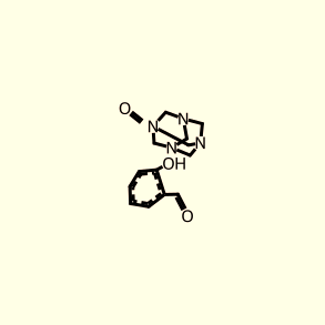 C1N2CN3CN1CN(C2)C3.C=O.O=Cc1ccccc1O